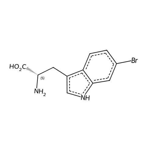 N[C@@H](Cc1c[nH]c2cc(Br)ccc12)C(=O)O